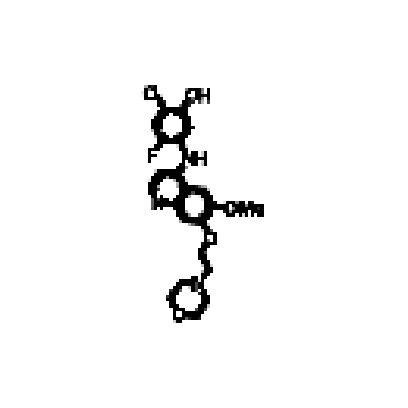 COc1cc2c(Nc3cc(O)c(Cl)cc3F)ccnc2cc1OCCN1CCOCC1